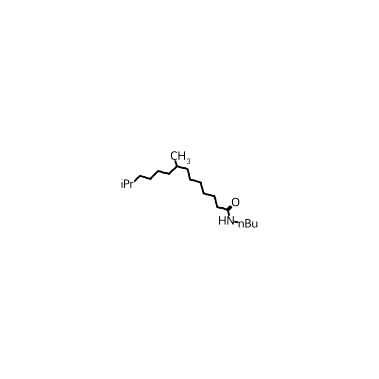 CCCCNC(=O)CCCCCCC(C)CCCCC(C)C